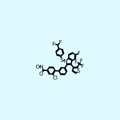 O=NC(=O)c1ccc(-c2cccc(-c3c(-c4ccsc4C(F)(F)F)c4cc(F)ccc4n3Sc3ccc(C(F)F)cc3)c2)c(Cl)c1